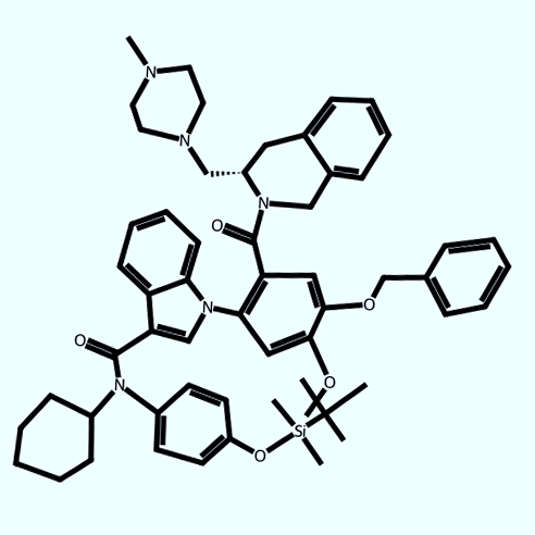 COc1cc(-n2cc(C(=O)N(c3ccc(O[Si](C)(C)C(C)(C)C)cc3)C3CCCCC3)c3ccccc32)c(C(=O)N2Cc3ccccc3C[C@H]2CN2CCN(C)CC2)cc1OCc1ccccc1